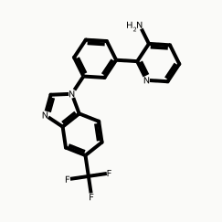 Nc1cccnc1-c1cccc(-n2cnc3cc(C(F)(F)F)ccc32)c1